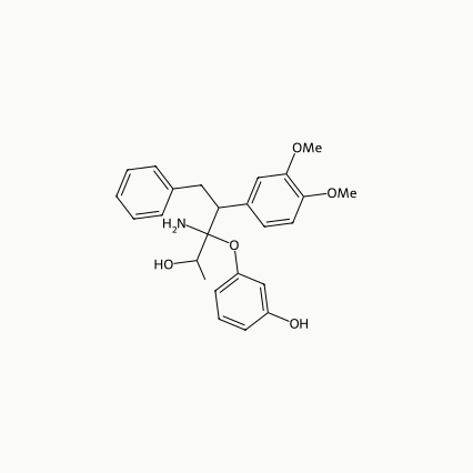 COc1ccc(C(Cc2ccccc2)C(N)(Oc2cccc(O)c2)C(C)O)cc1OC